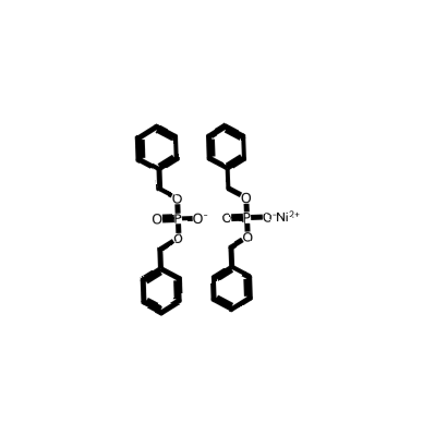 O=P([O-])(OCc1ccccc1)OCc1ccccc1.O=P([O-])(OCc1ccccc1)OCc1ccccc1.[Ni+2]